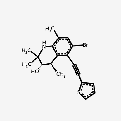 Cc1cc(Br)c(C#Cc2cccs2)c2c1NC(C)(C)[C@@H](O)[C@@H]2C